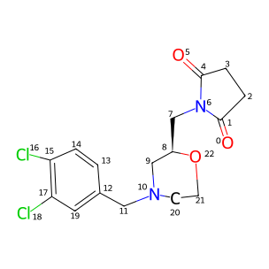 O=C1CCC(=O)N1C[C@@H]1CN(Cc2ccc(Cl)c(Cl)c2)CCO1